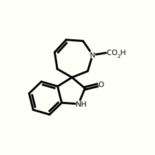 O=C(O)N1CC=CCC2(C1)C(=O)Nc1ccccc12